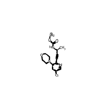 C[C@@H](C#Cc1ncc(Cl)cc1N1CCOCC1)NC(=O)OC(C)(C)C